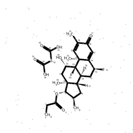 CCC(=O)O[C@H]1[C@H](C)C[C@H]2[C@@H]3C[C@H](F)C4=CC(=O)C(C)=C[C@]4(C)[C@@]3(F)[C@@H](O)C[C@@]21C.O=C(O)SC(=O)O